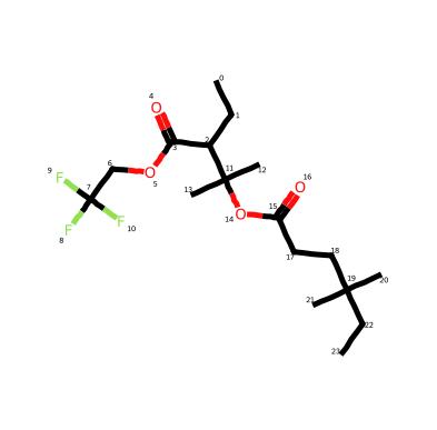 CCC(C(=O)OCC(F)(F)F)C(C)(C)OC(=O)CCC(C)(C)CC